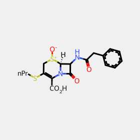 CCCSC1=C(C(=O)O)N2C(=O)C(NC(=O)Cc3ccccc3)[C@@H]2[S+]([O-])C1